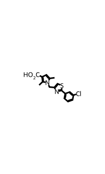 Cc1cc(C(=O)O)c(C)n1Cc1csc(-c2cccc(Cl)c2)n1